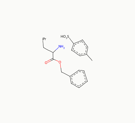 CC(C)CC(N)C(=O)OCc1ccccc1.Cc1ccc(S(=O)(=O)O)cc1